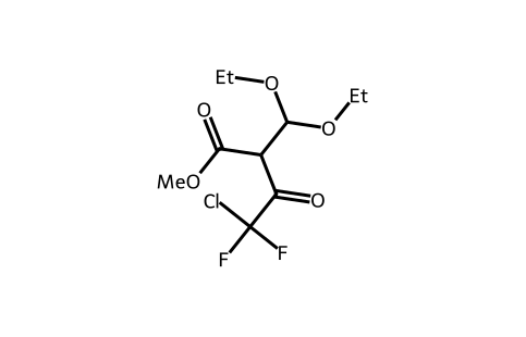 CCOC(OCC)C(C(=O)OC)C(=O)C(F)(F)Cl